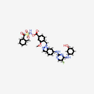 COc1cc(C(=O)ONS(=O)(=O)C(=O)c2ccccc2C)ccc1Cn1ncc2ccc(Nc3ncc(F)c(Nc4cccc(O)c4)n3)cc21